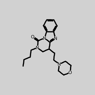 CCCCN1CC(CCN2CCOCC2)c2nc3ccccc3n2C1=O